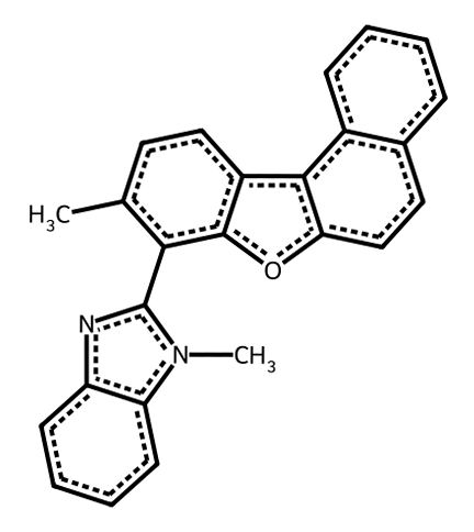 Cc1ccc2c(oc3ccc4ccccc4c32)c1-c1nc2ccccc2n1C